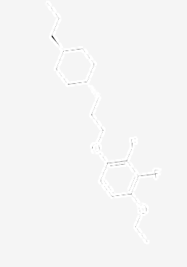 CCC[C@H]1CC[C@H](CCCOc2ccc(OCC)c(F)c2F)CC1